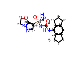 C[C@H]1CCc2cc3c(c(NC(=O)N=[S@](N)(=O)c4cnn5c4OCC5)c21)CCC3